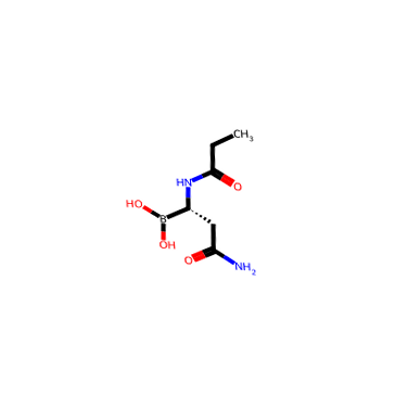 CCC(=O)N[C@H](CC(N)=O)B(O)O